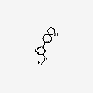 COc1cncc(C2=CCC3(CCCN3)CC2)c1